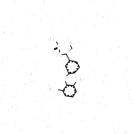 Cc1cccc(C)c1Oc1cccc([C@H](CC(=O)O)NS(=O)(=O)C(C)(C)C)c1